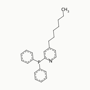 CCCCCCCc1ccnc(P(c2ccccc2)c2ccccc2)c1